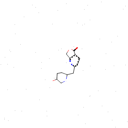 O=C1OCc2nc(CC3CCC(O)CN3)ccc21